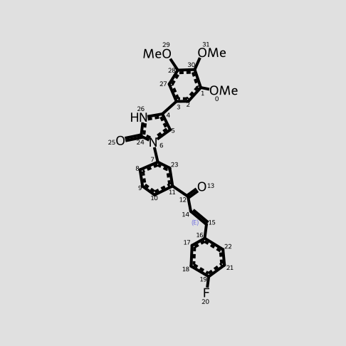 COc1cc(-c2cn(-c3cccc(C(=O)/C=C/c4ccc(F)cc4)c3)c(=O)[nH]2)cc(OC)c1OC